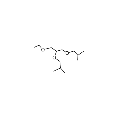 CCOCC(COCC(C)C)OCC(C)C